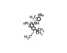 C=CCCc1cc2nc(CCC)nc(NCc3cccc(C(C)(C)C)c3C)c2cc1N(C)C